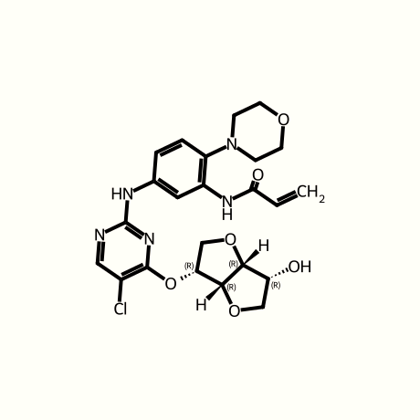 C=CC(=O)Nc1cc(Nc2ncc(Cl)c(O[C@@H]3CO[C@H]4[C@@H]3OC[C@H]4O)n2)ccc1N1CCOCC1